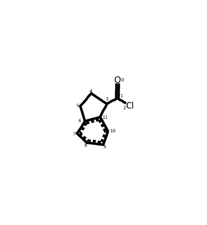 O=C(Cl)C1CCc2ccccc21